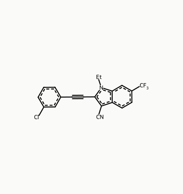 CCn1c(C#Cc2cccc(Cl)c2)c(C#N)c2ccc(C(F)(F)F)cc21